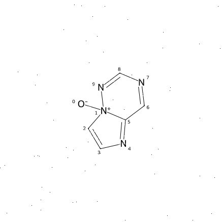 [O-][N+]12C=CN=C1C=NC=N2